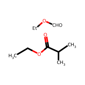 CCOC(=O)C(C)C.CCOC=O